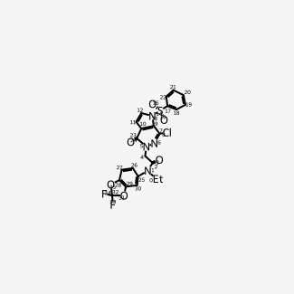 CCN(C(=O)Cn1nc(Cl)c2c(ccn2S(=O)(=O)c2ccccc2)c1=O)c1ccc2c(c1)OC(F)(F)O2